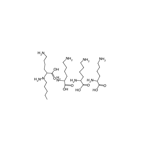 CCCCCN(N)C(CCCCN)C(=O)O.NCCCCC(N)C(=O)O.NCCCCC(N)C(=O)O.NCCCCC(N)C(=O)O